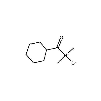 C[N+](C)([O-])C(=O)C1CCCCC1